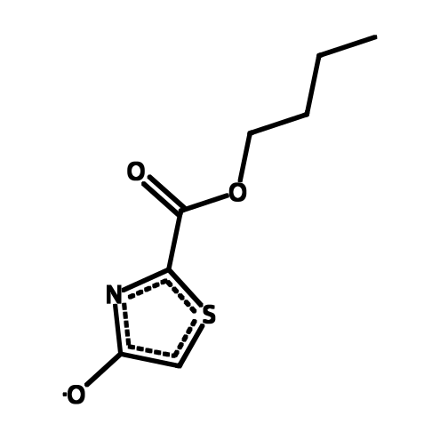 CCCCOC(=O)c1nc([O])cs1